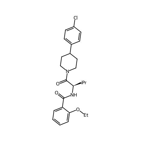 CCOc1ccccc1C(=O)N[C@@H](C(=O)N1CCC(c2ccc(Cl)cc2)CC1)C(C)C